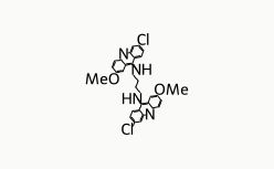 COc1ccc2nc3cc(Cl)ccc3c(NCCCCNc3c4ccc(Cl)cc4nc4ccc(OC)cc34)c2c1